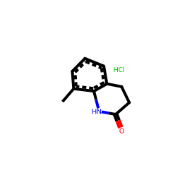 Cc1cccc2c1NC(=O)CC2.Cl